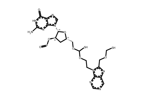 Nc1nc2c(ncn2[C@@H]2O[C@H](COC(S)OCCn3c(COCS)nc4cncnc43)C[C@H]2OP=O)c(=O)[nH]1